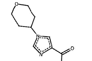 O=C(O)c1cn(C2CCOCC2)cn1